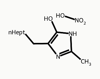 CCCCCCCCc1nc(C)[nH]c1O.O=[N+]([O-])O